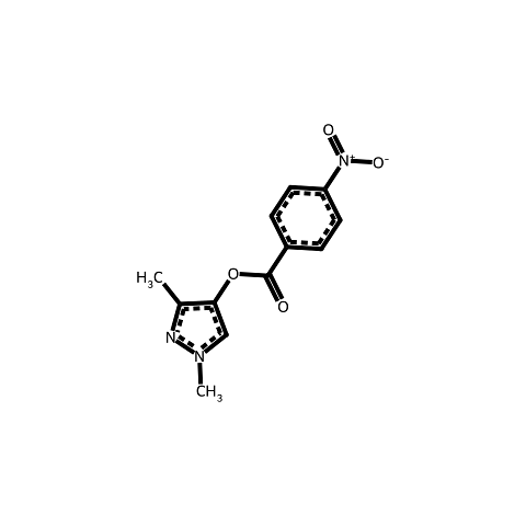 Cc1nn(C)cc1OC(=O)c1ccc([N+](=O)[O-])cc1